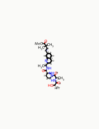 COC(=O)C(C)(C)/C=C/c1ccc2ccc([C@@H](C)NC(=O)[C@@H]3CCCN(C(=O)[C@H](C)NC(=O)[C@@H](O)C(C)C)N3)nc2c1